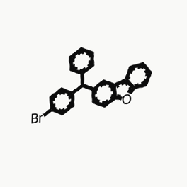 Brc1ccc(C(c2ccccc2)c2ccc3oc4ccccc4c3c2)cc1